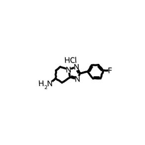 Cl.NC1CCn2nc(-c3ccc(F)cc3)nc2C1